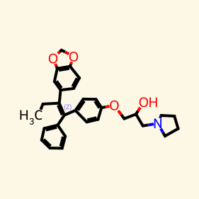 CC/C(=C(\c1ccccc1)c1ccc(OCC(O)CN2CCCC2)cc1)c1ccc2c(c1)OCO2